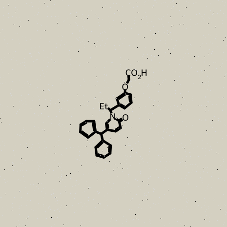 CCC(c1cccc(OCC(=O)O)c1)n1cc(C(c2ccccc2)c2ccccc2)ccc1=O